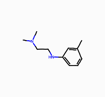 Cc1cccc(NCCN(C)C)c1